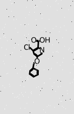 O=C(O)c1ncc(OCc2ccccc2)cc1Cl